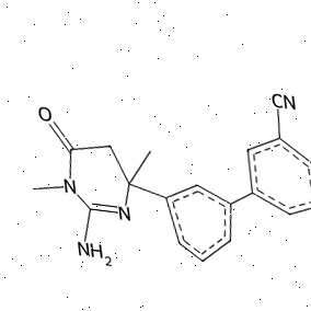 CN1C(=O)CC(C)(c2cccc(-c3cncc(C#N)c3)c2)N=C1N